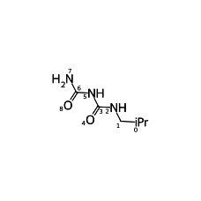 CC(C)CNC(=O)NC(N)=O